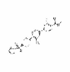 CN(C)C(=O)c1ccc(-c2cnc(N3CCN(S(=O)(=O)c4cccs4)CC3)c(C#N)c2)cc1Cl